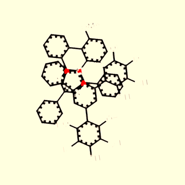 COc1cccc(-n2c3ccccc3c3cc(-c4c(O)c(O)c(O)c(O)c4O)cc(-c4c(O)c(O)c(O)c(O)c4O)c32)c1-c1ccccc1-c1nc(-c2ccccc2)nc(-c2ccccc2)n1